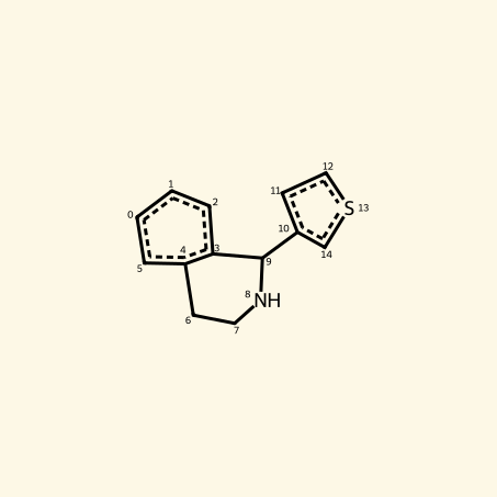 c1ccc2c(c1)CCNC2c1ccsc1